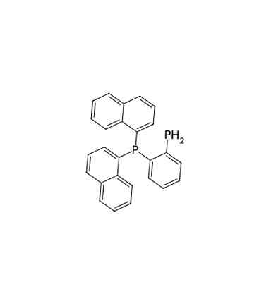 Pc1ccccc1P(c1cccc2ccccc12)c1cccc2ccccc12